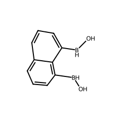 OBc1cccc2cccc(BO)c12